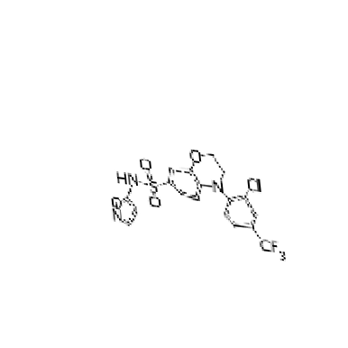 O=S(=O)(Nc1ccno1)c1ccc2c(c1)OCCN2c1ccc(C(F)(F)F)cc1Cl